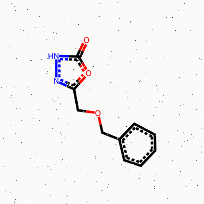 O=c1[nH]nc(COCc2ccccc2)o1